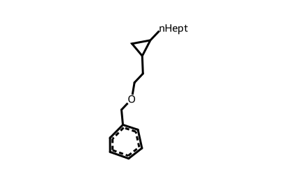 CCCCCCCC1CC1CCOCc1ccccc1